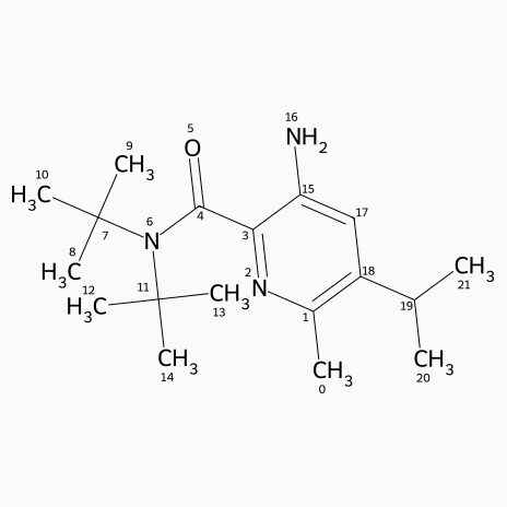 Cc1nc(C(=O)N(C(C)(C)C)C(C)(C)C)c(N)cc1C(C)C